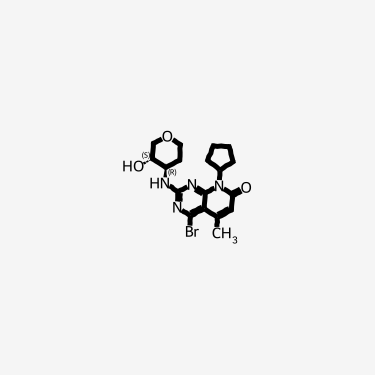 Cc1cc(=O)n(C2CCCC2)c2nc(N[C@@H]3CCOC[C@H]3O)nc(Br)c12